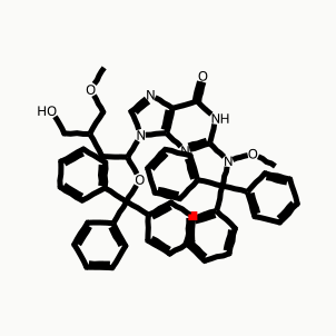 COCC(CO)CC(OC(c1ccccc1)(c1ccccc1)c1ccccc1)n1cnc2c(=O)[nH]c(N(OC)C(c3ccccc3)(c3ccccc3)c3ccccc3)nc21